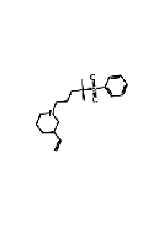 C=CC1CCCN(CCCC(C)(C)S(=O)(=O)c2ccccc2)C1